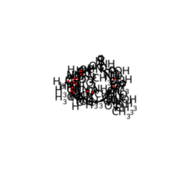 CC(=O)N[C@@H](CC(C)C)C(=O)N[C@H](C(=O)N[C@@H](Cc1ccccc1)C(=O)N[C@]1(C)CCCCC#CC#CCCC[C@@](C)(C(=O)CN[C@@H](C)C(=O)CCN[C@@H](C)C(=O)CCN[C@@H](C)C(=O)CCN[C@@H](C)C(=O)CCN[C@@H](C)C(=O)CN[C@H](C)C(N)=O)NC(=O)[C@H](CC(C)C)NN[C@@H](CCC(N)=O)C(=O)CC(=O)[C@H](C)NCC(=O)[C@H](Cc2c[nH]c3ccccc23)NC(=O)[C@H](Cc2ccc(O)cc2)NN[C@@H](CCC(=O)O)C(=O)C1=O)[C@@H](C)O